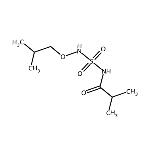 CC(C)CONS(=O)(=O)NC(=O)C(C)C